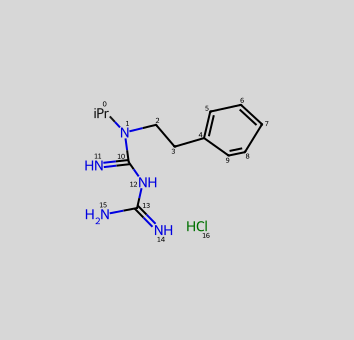 CC(C)N(CCc1ccccc1)C(=N)NC(=N)N.Cl